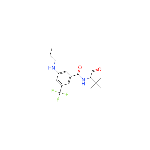 CCCNc1cc(C(=O)NC(C=O)C(C)(C)C)cc(C(F)(F)F)c1